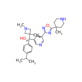 CC(C)c1ccc([C@](O)(c2cncc(-c3noc(C4(C)CCNCC4)n3)c2)C2(C)CN(C)C2)cc1